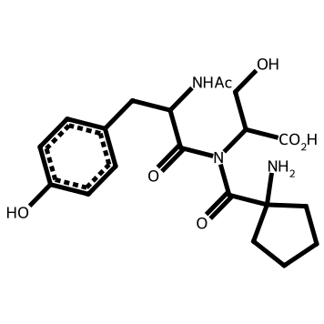 CC(=O)NC(Cc1ccc(O)cc1)C(=O)N(C(=O)C1(N)CCCC1)C(CO)C(=O)O